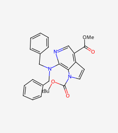 COC(=O)c1cnc(N(Cc2ccccc2)Cc2ccccc2)c2c1ccn2C(=O)OC(C)(C)C